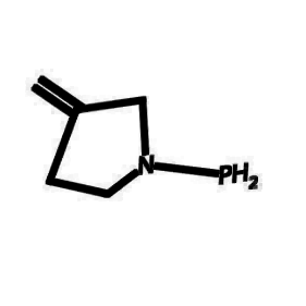 C=C1CCN(P)C1